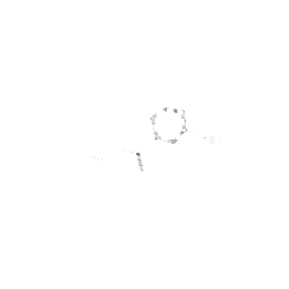 CCOC(=O)c1cccc([NH])c1